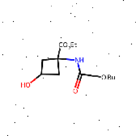 CCOC(=O)C1(NC(=O)OCC(C)C)CC(O)C1